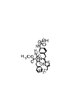 CCc1csc([C@H](Cc2ccc(NS(=O)(=O)O)cc2)NC(=O)[C@@H](Cc2ccccc2)C(C(N)=O)C(=O)OC)n1